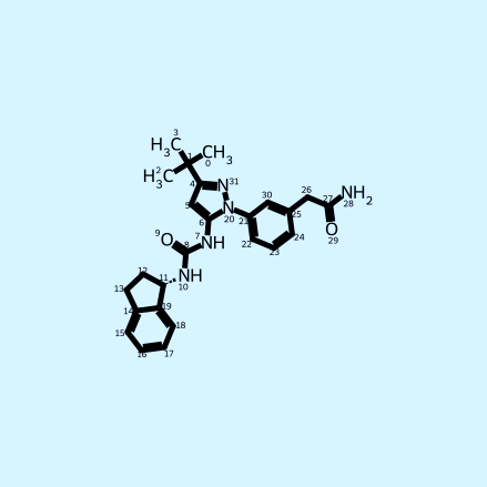 CC(C)(C)c1cc(NC(=O)N[C@H]2CCc3ccccc32)n(-c2cccc(CC(N)=O)c2)n1